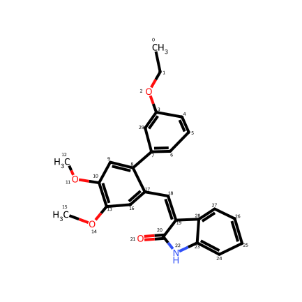 CCOc1cccc(-c2cc(OC)c(OC)cc2C=C2C(=O)Nc3ccccc32)c1